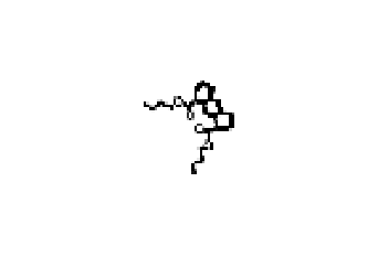 CCCCOC(=O)c1cccc2cc3cccc(C(=O)OCCCC)c3cc12